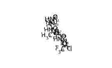 C[C@@H](NC(=O)c1cnc2n1CCC(=O)N2)c1ncc(C(=O)Nc2cc(C(F)(F)F)c(Cl)cn2)s1